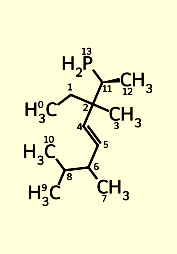 CCC(C)(C=CC(C)C(C)C)[C@H](C)P